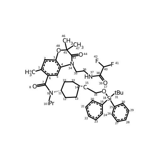 Cc1cc2c(cc1C(=O)N(C(C)C)[C@H]1CC[C@@H](CCO[Si](c3ccccc3)(c3ccccc3)C(C)(C)C)CC1)N(CCNC(=O)C(F)F)C(=O)C(C)(C)O2